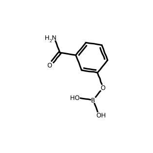 NC(=O)c1cccc(OB(O)O)c1